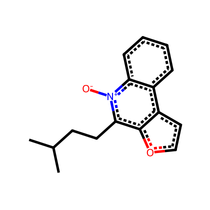 CC(C)CCc1c2occc2c2ccccc2[n+]1[O-]